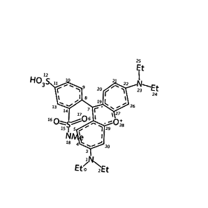 CCN(CC)c1ccc2c(-c3ccc(S(=O)(=O)O)cc3S(=O)(=O)NC)c3ccc(N(CC)CC)cc3[o+]c2c1